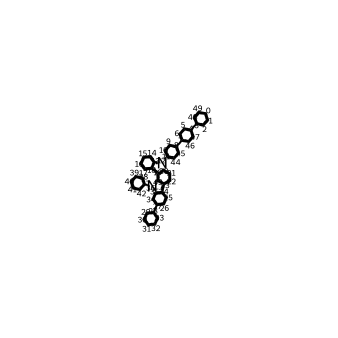 c1ccc(-c2ccc(-c3ccc(-n4c5ccccc5c5c4ccc4c6ccc(-c7ccccc7)cc6n(-c6ccccc6)c45)cc3)cc2)cc1